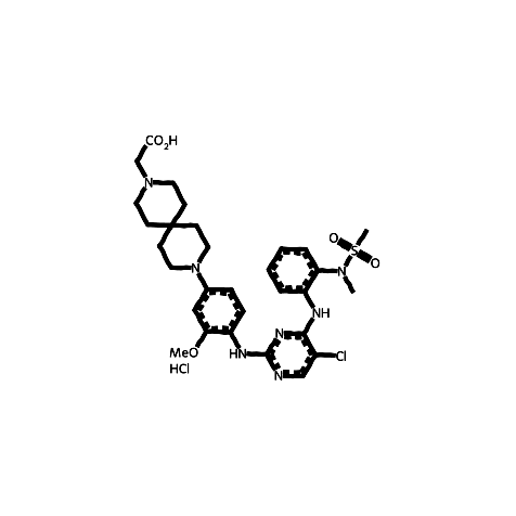 COc1cc(N2CCC3(CCN(CC(=O)O)CC3)CC2)ccc1Nc1ncc(Cl)c(Nc2ccccc2N(C)S(C)(=O)=O)n1.Cl